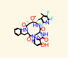 CO[C@@H]1[C@H](Cc2c(F)nc(F)c(F)c2C)NC(=O)[C@@H](NC(=O)c2ncccc2O)[C@@H](C)NC(=O)C(Cc2ccccc2)NC(=O)[C@@H]1C